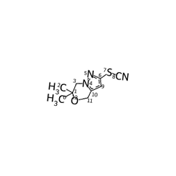 CC1(C)Cn2nc(SC#N)cc2CO1